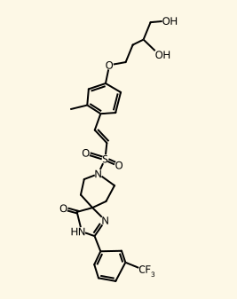 Cc1cc(OCCC(O)CO)ccc1/C=C/S(=O)(=O)N1CCC2(CC1)N=C(c1cccc(C(F)(F)F)c1)NC2=O